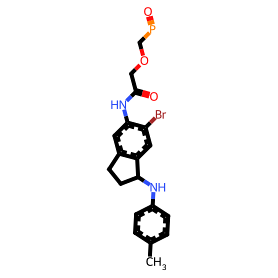 Cc1ccc(NC2CCc3cc(NC(=O)COCP=O)c(Br)cc32)cc1